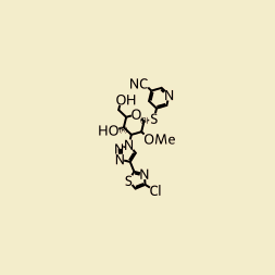 COC1C(n2cc(-c3nc(Cl)cs3)nn2)[C@@H](O)C(CO)O[C@@H]1Sc1cncc(C#N)c1